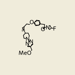 COCc1cnc(N2CCC([C@H]3CC3CCOc3ccc(CC(=O)N4CC(F)C4)cc3)CC2)nc1